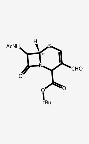 CC(=O)NC1C(=O)N2C(C(=O)OC(C)(C)C)C(C=O)=CS[C@@H]12